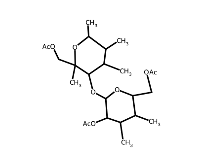 CC(=O)OCC1OC(OC2C(C)C(C)C(C)OC2(C)COC(C)=O)C(OC(C)=O)C(C)C1C